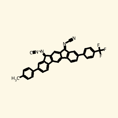 [C-]#[N+]/N=c1\c2cc(-c3ccc(C)cc3)ccc2c2cc3c(cc12)/c(=N/C#N)c1cc(-c2ccc(C(F)(F)F)cc2)ccc13